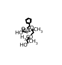 CC(C)(CCO)OCCC(C)(C)OC(COCC(=O)O)c1ccccc1